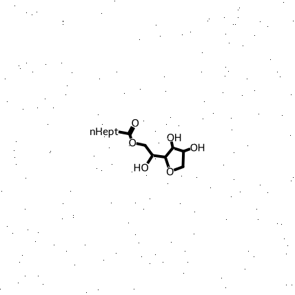 CCCCCCCC(=O)OCC(O)C1OCC(O)C1O